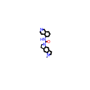 Cn1ccc2cc3c(cc21)CCN3C(=O)Nc1cccc2cnccc12